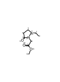 CC[C@@H]1CCC(=O)N1CC(=O)OC